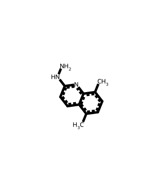 Cc1ccc(C)c2nc(NN)ccc12